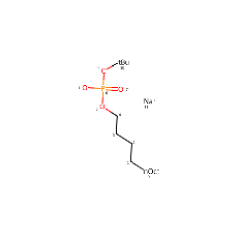 CCCCCCCCCCCCOP(=O)([O-])OC(C)(C)C.[Na+]